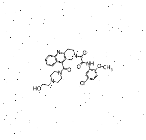 COc1ccc(Cl)cc1NC(=O)C(=O)N1CCc2nc3ccccc3c(C(=O)N3CCN(CCO)CC3)c2C1